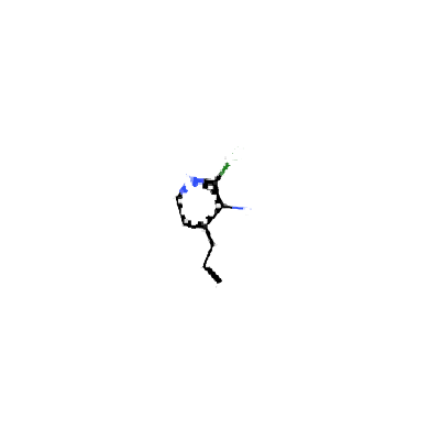 C=CCc1ccnc(Cl)c1N